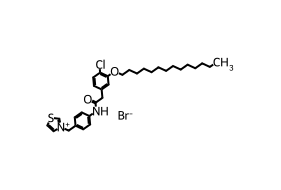 CCCCCCCCCCCCCCOc1cc(CC(=O)Nc2ccc(C[n+]3ccsc3)cc2)ccc1Cl.[Br-]